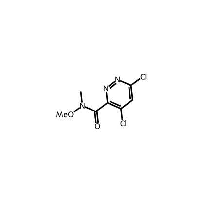 CON(C)C(=O)c1nnc(Cl)cc1Cl